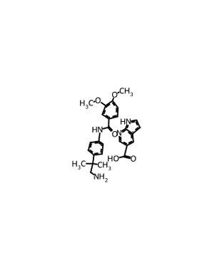 COc1ccc(C(=O)Nc2ccc(C(C)(C)CN)cc2)cc1OC.O=C(O)c1cnc2[nH]ccc2c1